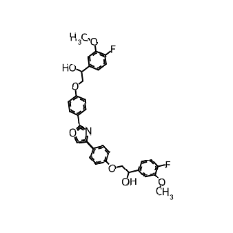 COc1cc(C(O)COc2ccc(-c3coc(-c4ccc(OCC(O)c5ccc(F)c(OC)c5)cc4)n3)cc2)ccc1F